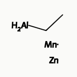 C[CH2][AlH2].[Mn].[Zn]